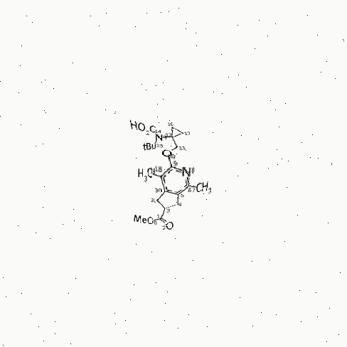 COC(=O)C1Cc2c(C)nc(OCC3(N(C(=O)O)C(C)(C)C)CC3)c(C)c2C1